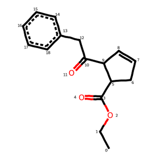 CCOC(=O)C1CC=CC1C(=O)Cc1ccccc1